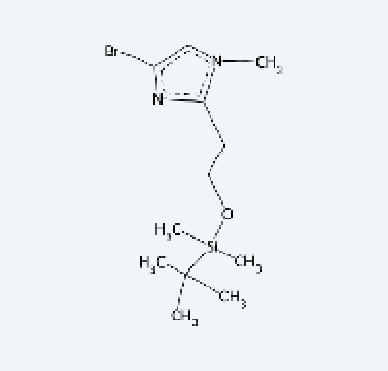 Cn1cc(Br)nc1CCO[Si](C)(C)C(C)(C)C